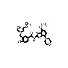 CCN(CCOC)Cc1cc(C(=O)Nc2nc3c(OC)ccc(N4CCOCC4)c3s2)ccc1Cl